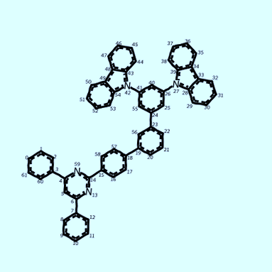 c1ccc(-c2cc(-c3ccccc3)nc(-c3ccc(-c4cccc(-c5cc(-n6c7ccccc7c7ccccc76)cc(-n6c7ccccc7c7ccccc76)c5)c4)cc3)n2)cc1